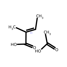 C/C=C(\C)C(=O)O.CC(=O)O